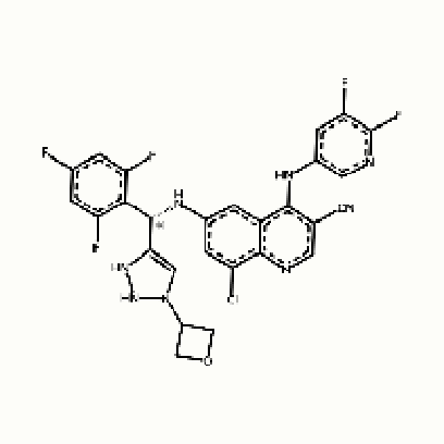 N#Cc1cnc2c(Cl)cc(N[C@H](C3=CN(C4COC4)NN3)c3c(F)cc(F)cc3F)cc2c1Nc1cnc(F)c(F)c1